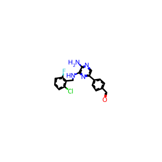 Nc1ncc(-c2ccc(C=O)cc2)nc1NCc1c(F)cccc1Cl